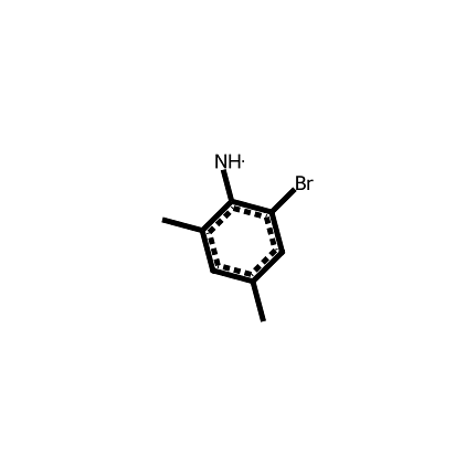 Cc1cc(C)c([NH])c(Br)c1